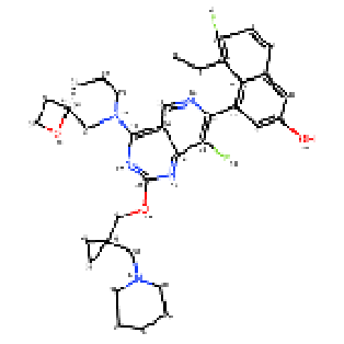 CCc1c(F)ccc2cc(O)cc(-c3ncc4c(N5CCC[C@]6(CCO6)C5)nc(OCC5(CN6CCCCC6)CC5)nc4c3F)c12